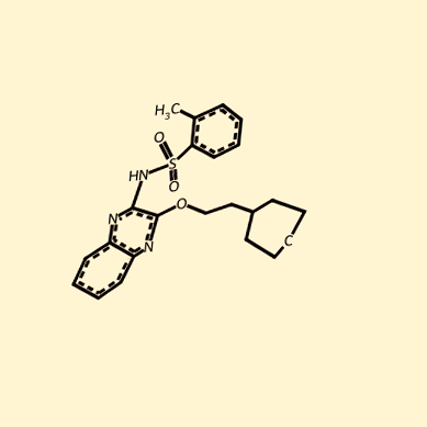 Cc1ccccc1S(=O)(=O)Nc1nc2ccccc2nc1OCCC1CCCCC1